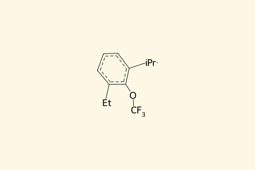 CCc1cccc([C](C)C)c1OC(F)(F)F